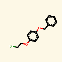 BrCCOc1ccc(OCc2ccccc2)cc1